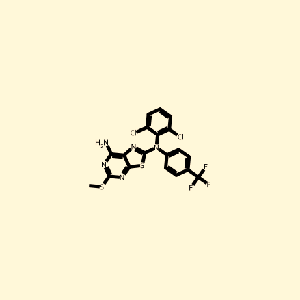 CSc1nc(N)c2nc(N(c3ccc(C(F)(F)F)cc3)c3c(Cl)cccc3Cl)sc2n1